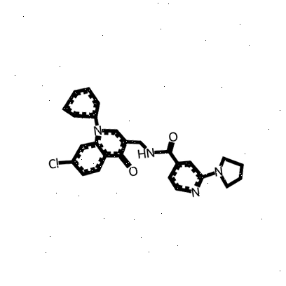 O=C(NCc1cn(-c2ccccc2)c2cc(Cl)ccc2c1=O)c1ccnc(N2CCCC2)c1